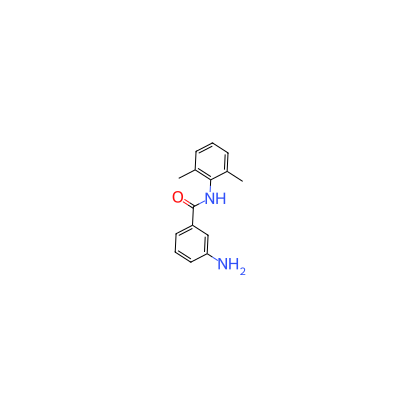 Cc1cccc(C)c1NC(=O)c1cccc(N)c1